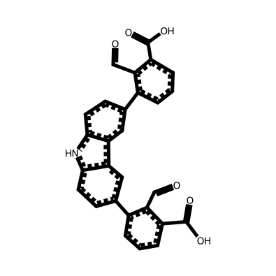 O=Cc1c(C(=O)O)cccc1-c1ccc2[nH]c3ccc(-c4cccc(C(=O)O)c4C=O)cc3c2c1